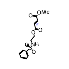 COC(=O)/C=C/C(=O)OCCNS(=O)(=O)c1ccccc1